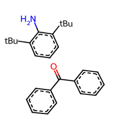 CC(C)(C)c1cccc(C(C)(C)C)c1N.O=C(c1ccccc1)c1ccccc1